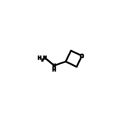 NNC1COC1